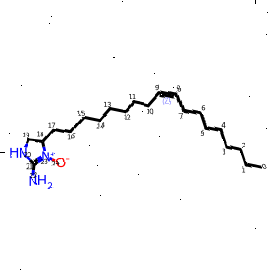 CCCCCCCC/C=C\CCCCCCCCC1CNC(N)=[N+]1[O-]